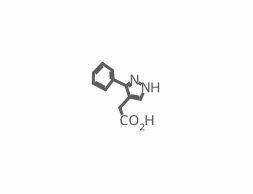 O=C(O)Cc1c[nH]nc1-c1ccccc1